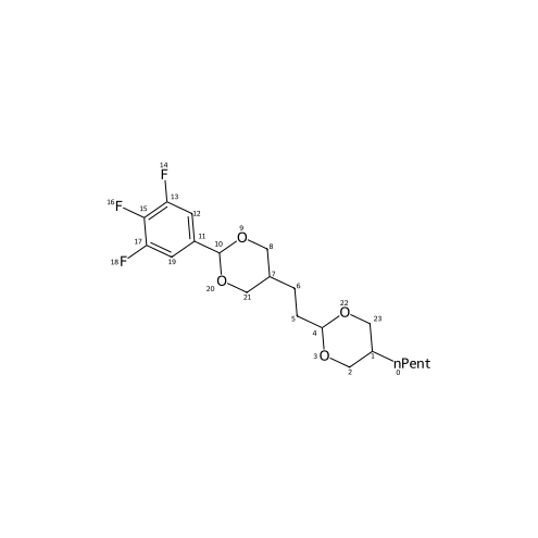 CCCCCC1COC(CCC2COC(c3cc(F)c(F)c(F)c3)OC2)OC1